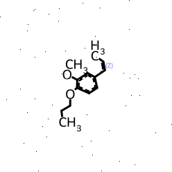 C/C=C\c1ccc(OCCC)c(OC)c1